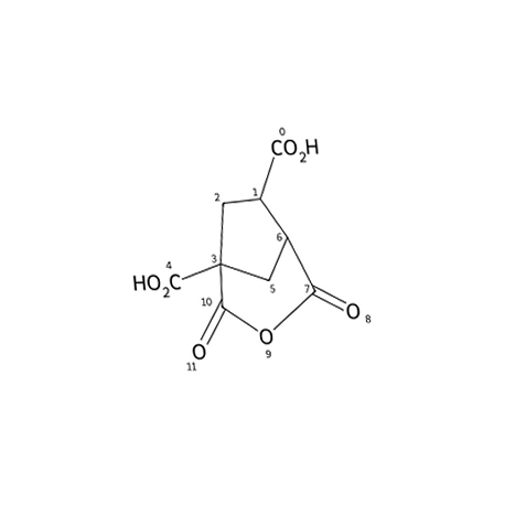 O=C(O)C1CC2(C(=O)O)CC1C(=O)OC2=O